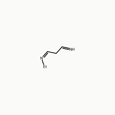 CC/N=C\CC=N